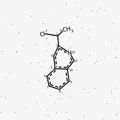 CC(Cl)c1cc2ccccc2cn1